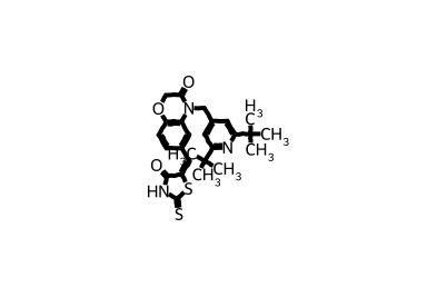 CC(C)(C)c1cc(CN2C(=O)COc3ccc(C=C4SC(=S)NC4=O)cc32)cc(C(C)(C)C)n1